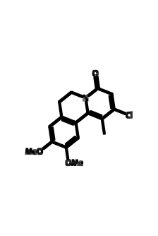 COc1cc2c(cc1OC)-c1c(C)c(Cl)cc(=O)n1CC2